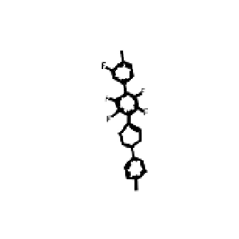 Cc1ccc(C2CC=C(c3c(F)c(F)c(-c4ccc(C)c(F)c4)c(F)c3F)CC2)cc1